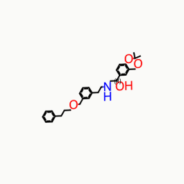 CC1(C)OCc2cc([C@@H](O)CNCCc3cccc(COCCCc4ccccc4)c3)ccc2O1